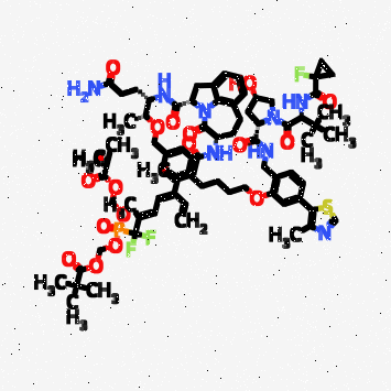 C=CC(=C\C=C(/C)C(F)(F)P(=O)(OCOC(=O)C(C)(C)C)OCOC(=O)C(C)(C)C)/C(C)=C/C(=O)N[C@H]1CCc2cccc3c2N(C1=O)[C@H](C(=O)N[C@@H](CCC(N)=O)[C@@H](C)OCc1ccc(CCCCOc2cc(-c4scnc4C)ccc2CNC(=O)[C@@H]2C[C@@H](O)CN2C(=O)[C@@H](NC(=O)C2(F)CC2)C(C)(C)C)cc1)C3